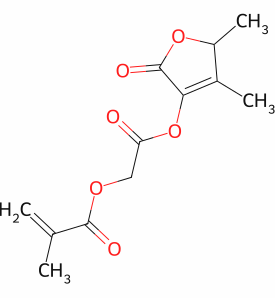 C=C(C)C(=O)OCC(=O)OC1=C(C)C(C)OC1=O